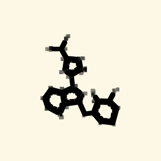 Fc1cccc(Cc2nn(-c3nc(C(F)F)n[nH]3)c3cccnc23)c1F